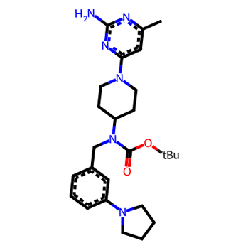 Cc1cc(N2CCC(N(Cc3cccc(N4CCCC4)c3)C(=O)OC(C)(C)C)CC2)nc(N)n1